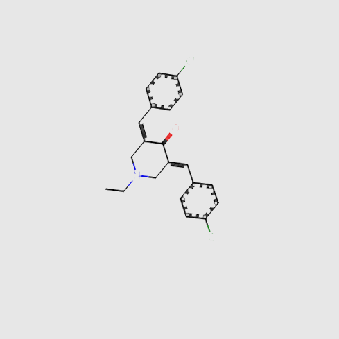 CCN1CC(=Cc2ccc(Cl)cc2)C(=O)C(=Cc2ccc(Cl)cc2)C1